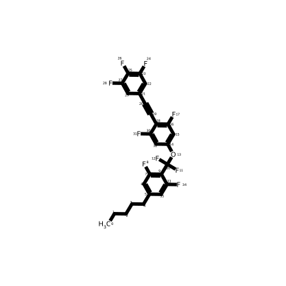 CCCCCc1cc(F)c(C(F)(F)Oc2cc(F)c(C#Cc3cc(F)c(F)c(F)c3)c(F)c2)c(F)c1